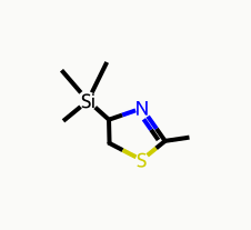 CC1=NC([Si](C)(C)C)CS1